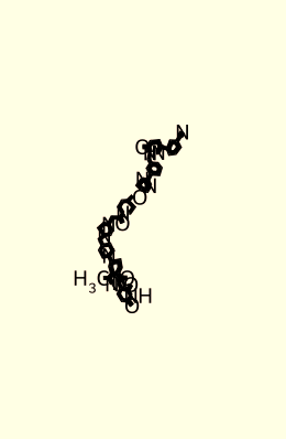 Cc1nn(C2CCC(=O)NC2=O)c(=O)c2ccc(N3CCC(CN4CCN(CC(=O)N5CCC(COc6cnc(-c7cccc(Cn8nc(-c9cccc(C#N)c9)ccc8=O)c7)nc6)CC5)CC4)CC3)cc12